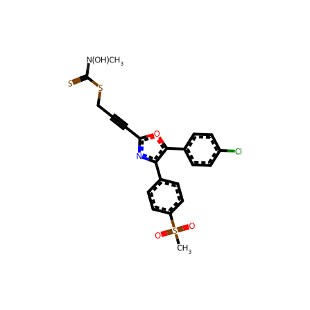 CN(O)C(=S)SCC#Cc1nc(-c2ccc(S(C)(=O)=O)cc2)c(-c2ccc(Cl)cc2)o1